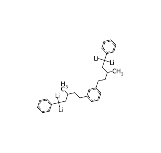 [Li][C]([Li])(CC(C)CCc1cccc(CCC(C)C[C]([Li])([Li])c2ccccc2)c1)c1ccccc1